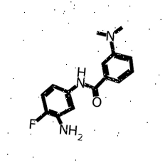 CN(C)c1cccc(C(=O)Nc2ccc(F)c(N)c2)c1